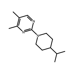 Cc1cnc(N2CCC(C(C)C)CC2)nc1C